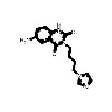 Nc1ccc2[nH]c(=O)n(CCCCn3ccnc3)c(=O)c2c1